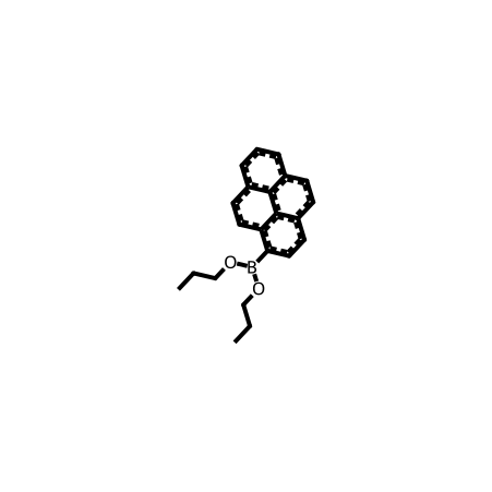 CCCOB(OCCC)c1ccc2ccc3cccc4ccc1c2c34